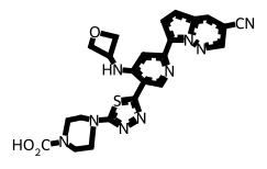 N#Cc1cnn2c(-c3cc(NC4COC4)c(-c4nnc(N5CCN(C(=O)O)CC5)s4)cn3)ccc2c1